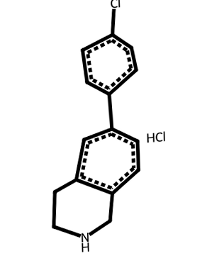 Cl.Clc1ccc(-c2ccc3c(c2)CCNC3)cc1